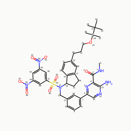 CNC(=O)c1nc(-c2cccc(CN(C3CCc4cc(CCCO[Si](C)(C)C(C)(C)C)ccc43)S(=O)(=O)c3cc([N+](=O)[O-])cc([N+](=O)[O-])c3)c2)cnc1N